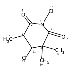 CC1C(=O)N(Cl)C(=O)C(C)(C)C1Cl